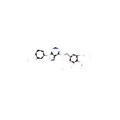 COc1cc(CNc2ncnc3c2cnn3-c2cccc(C)c2)cc(OC)c1OC